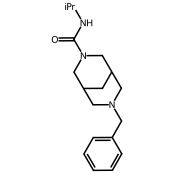 CC(C)NC(=O)N1CC2CC(CN(Cc3ccccc3)C2)C1